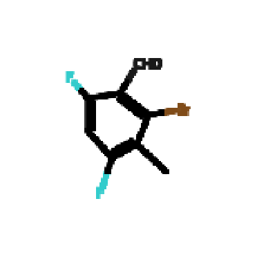 Cc1c(F)cc(F)c(C=O)c1Br